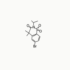 CC(C)N1C(=O)C(C)(C)c2cc(Br)ccc2S1(=O)=O